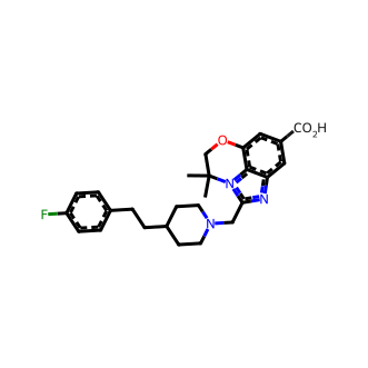 CC1(C)COc2cc(C(=O)O)cc3nc(CN4CCC(CCc5ccc(F)cc5)CC4)n1c23